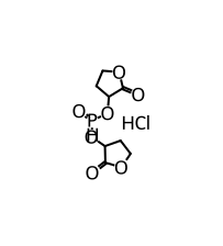 Cl.O=C1OCCC1O[PH](=O)OC1CCOC1=O